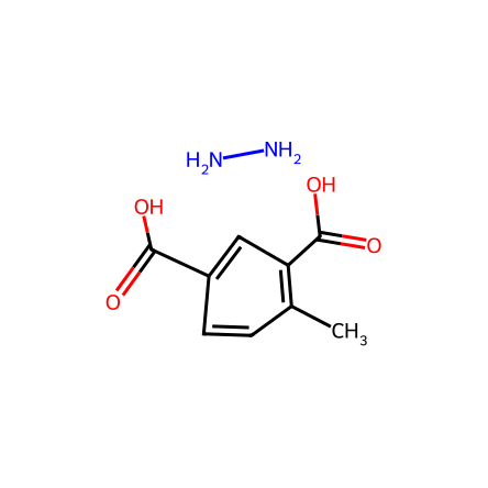 Cc1ccc(C(=O)O)cc1C(=O)O.NN